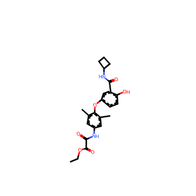 CCOC(=O)C(=O)Nc1cc(C)c(Oc2ccc(O)c(C(=O)NC3CCC3)c2)c(C)c1